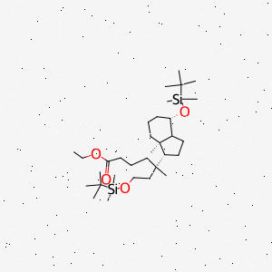 CCOC(=O)CCCC(C)(CCO[Si](C)(C)C(C)(C)C)[C@H]1CCC2[C@@H](O[Si](C)(C)C(C)(C)C)CCC[C@@]21C